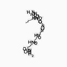 CCCCCNc1nc(N)nc2ccn(Cc3ccc(CN4CCN(CCCNC(=O)CCCC(=O)NCCCCC(N)C(=O)O)CC4)cc3OC)c12